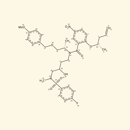 C=CC[C@H](C)Oc1ccc([N+](=O)[O-])cc1C(=O)N(CCC(O)CN(C)S(=O)(=O)c1ccc(F)cc1)[C@@H](C)COCc1ccc(OC)cc1